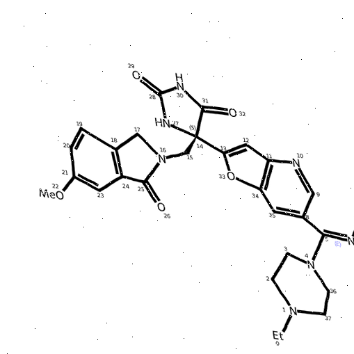 CCN1CCN(/C(=N/O)c2cnc3cc([C@]4(CN5Cc6ccc(OC)cc6C5=O)NC(=O)NC4=O)oc3c2)CC1